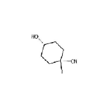 N#C[C@]1(I)CC[C@H](O)CC1